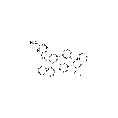 CC1=C=C2C=CC=CN2C(c2cccc(-c3cc(-c4ccc(C)nc4C)cc(-c4cccc5ccccc45)c3)c2)=C1c1ccccc1